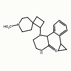 O=C1NCCN(C2CCC23CCN(C(=O)O)CC3)C1c1ccccc1C1CC1